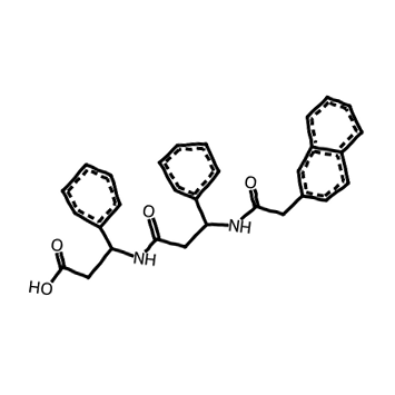 O=C(O)CC(NC(=O)CC(NC(=O)Cc1ccc2ccccc2c1)c1ccccc1)c1ccccc1